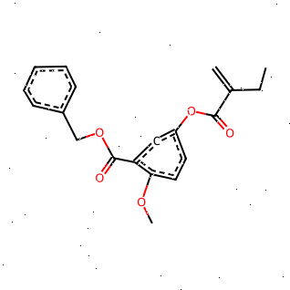 C=C(CC)C(=O)Oc1ccc(OC)c(C(=O)OCc2ccccc2)c1